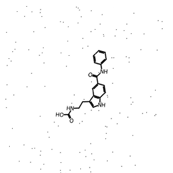 O=C(O)NCCc1c[nH]c2ccc(C(=O)Nc3ccccc3)cc12